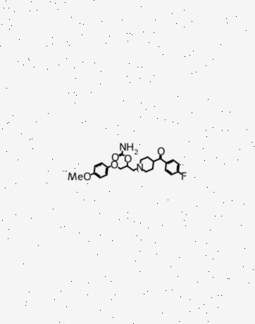 COc1ccc(OCC(CN2CCC(C(=O)c3ccc(F)cc3)CC2)OC(N)=O)cc1